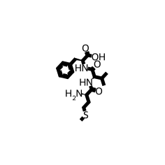 CSCC[C@H](N)C(=O)N[C@H](C(=O)N[C@@H](Cc1ccccc1)C(=O)O)C(C)C